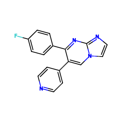 Fc1ccc(-c2nc3nccn3cc2-c2ccncc2)cc1